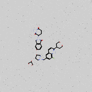 O=C1CC[C@@H](N2Cc3cc(O[C@H]4CN(Cc5cc(F)c6nc(C7CCOCC7)ccc6c5)C[C@@H]4OC4COC4)ccc3C2=O)C(=O)N1